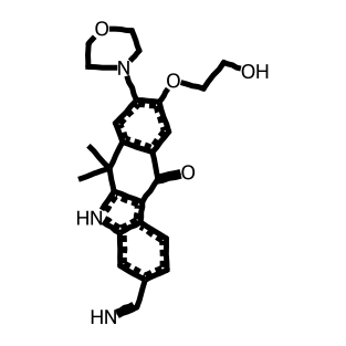 CC1(C)c2cc(N3CCOCC3)c(OCCO)cc2C(=O)c2c1[nH]c1cc(C=N)ccc21